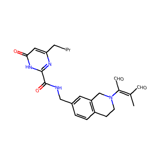 C/C(C=O)=C(/C=O)N1CCc2ccc(CNC(=O)c3nc(CC(C)C)cc(=O)[nH]3)cc2C1